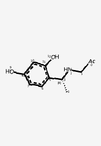 CC(=O)CN[C@H](C)c1ccc(O)cc1O